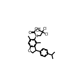 Cc1cc2c(c(C)c1N(CC(Cl)(Cl)Cl)C(=O)O)C(c1ccc(C(C)C)cc1)CO2